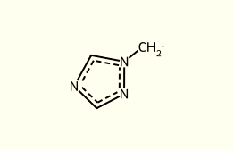 [CH2]n1cncn1